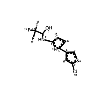 OC(Nc1nc(-c2csc(Cl)c2)cs1)C(F)(F)F